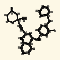 Cc1cc(Nc2nc(C#CC3(O)CCCNC3)nc3ccccc23)ccc1Oc1cccnc1